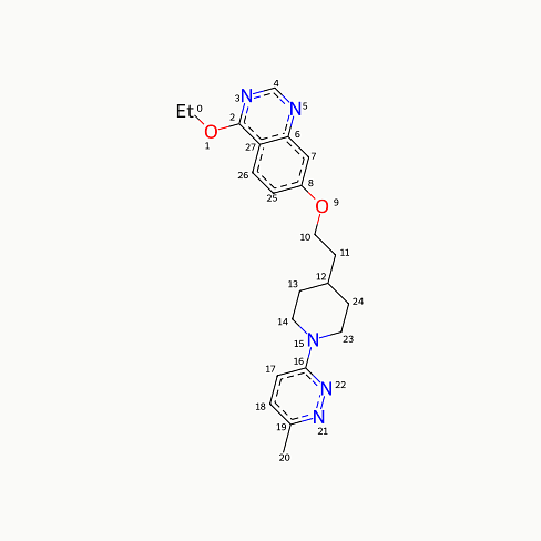 CCOc1ncnc2cc(OCCC3CCN(c4ccc(C)nn4)CC3)ccc12